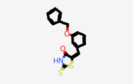 O=C1NC(=S)S/C1=C/c1cccc(OCc2ccccc2)c1